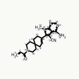 C=CC(=O)N1CCC2(CC=C(c3c(C#N)c4c(N)ncnc4n3C)CC2)CC1